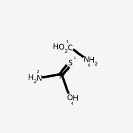 NC(=O)O.NC(O)=S